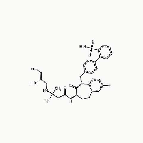 CC(C)(CC(=O)N[C@@H]1CCc2cc(F)ccc2N(Cc2ccc(-c3ccccc3S(N)(=O)=O)cc2)C1=O)NC[C@H](O)CO